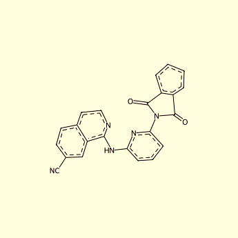 N#Cc1ccc2ccnc(Nc3cccc(N4C(=O)c5ccccc5C4=O)n3)c2c1